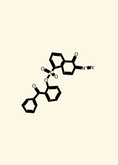 [N-]=[N+]=C1C=Cc2c(cccc2S(=O)(=O)Oc2ccccc2C(=O)c2ccccc2)C1=O